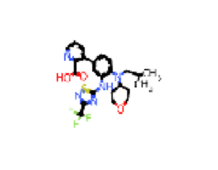 CC(C)CN(c1ccc(-c2cccnc2C(=O)O)cc1Nc1nc(C(F)(F)F)ns1)C1CCOCC1